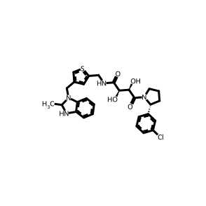 CC1Nc2ccccc2N1Cc1csc(CNC(=O)[C@H](O)[C@@H](O)C(=O)N2CCC[C@@H]2c2cccc(Cl)c2)c1